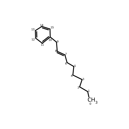 CCCCCCCC=CCc1ccccc1